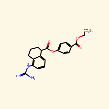 CCOC(=O)COC(=O)c1ccc(OC(=O)C2CCCc3c(NC(=N)N)cccc32)cc1